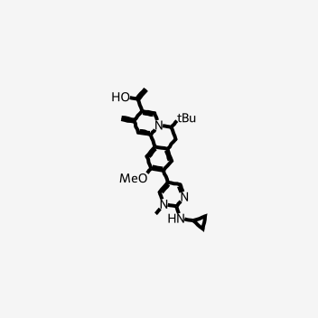 C=C(O)C1=CN2C(=CC1=C)c1cc(OC)c(C3=CN(C)C(NC4CC4)N=C3)cc1CC2C(C)(C)C